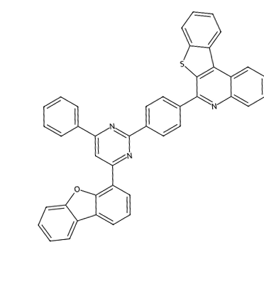 c1ccc(-c2cc(-c3cccc4c3oc3ccccc34)nc(-c3ccc(-c4nc5ccccc5c5c4sc4ccccc45)cc3)n2)cc1